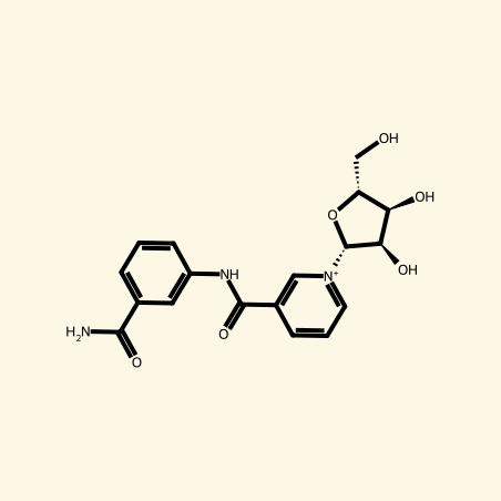 NC(=O)c1cccc(NC(=O)c2ccc[n+]([C@@H]3O[C@H](CO)[C@@H](O)[C@H]3O)c2)c1